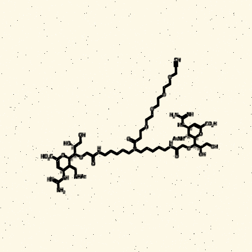 C#CCOCCOCCOCCOCCC(=O)N(CCCCCNC(=O)CO[C@H]([C@H](O)CO)[C@@H]1OC(C(=O)O)=C[C@H](NC(=N)N)C1CNC(C)=O)CCCCCNC(=O)CO[C@@H]([C@@H]1OC(C(=O)O)=C[C@H](NC(=N)N)[C@H]1NC(C)=O)[C@H](O)CO